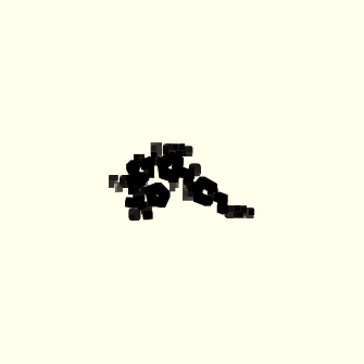 COCCN1CCC(NC(=O)c2cc(OC)c(Nc3ncc(C(F)(F)F)c(N[C@@H]4CCC[C@H]4N(C)S(C)(=O)=O)n3)cc2F)CC1